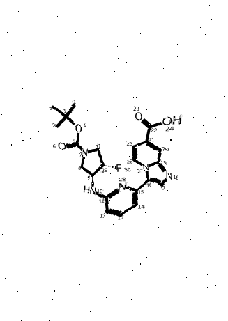 CC(C)(C)OC(=O)N1C[C@H](Nc2cccc(-c3cnc4cc(C(=O)O)ccn34)n2)[C@@H](F)C1